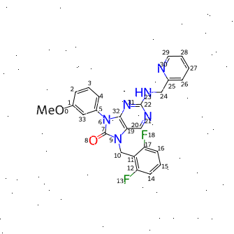 COc1cccc(-n2c(=O)n(Cc3c(F)cccc3F)c3cnc(NCc4ccccn4)nc32)c1